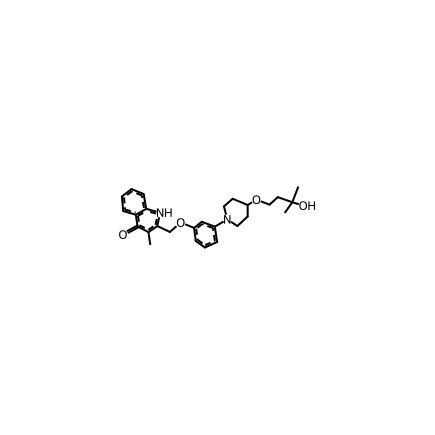 Cc1c(COc2cccc(N3CCC(OCCC(C)(C)O)CC3)c2)[nH]c2ccccc2c1=O